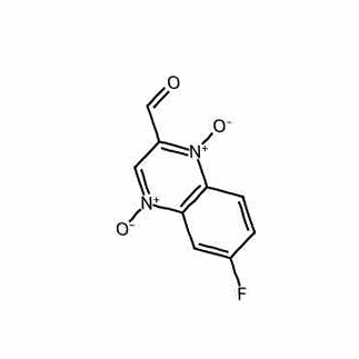 O=Cc1c[n+]([O-])c2cc(F)ccc2[n+]1[O-]